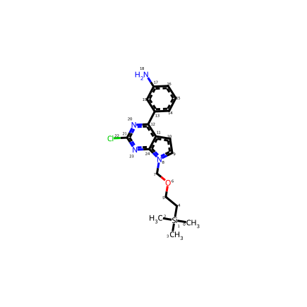 C[Si](C)(C)CCOCn1ccc2c(-c3cccc(N)c3)nc(Cl)nc21